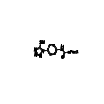 CCCCCC(=O)Nc1ccc(-n2nnnc2S)cc1